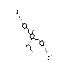 C=CC(=O)OCCOc1ccc(/C=C/c2cc(OCC(CC)CCCC)c(/C=C/c3ccc(OCCOC(=O)C=C)cc3)cc2CO)cc1